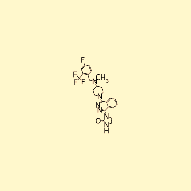 CN(Cc1ccc(F)cc1C(F)(F)F)C1CCN(c2nnc(N3CCNC3=O)c3ccccc23)CC1